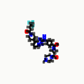 CN1CCN(C(=O)C2CN(C(=O)c3ccc(Nc4nc5c(C6=CCN(C(=O)CCC(F)(F)F)CC6)cccn5n4)cc3)C2)CC1